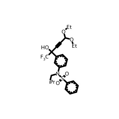 CCOC(C#CC(O)(c1cccc(N(CC(C)C)S(=O)(=O)c2ccccc2)c1)C(F)(F)F)OCC